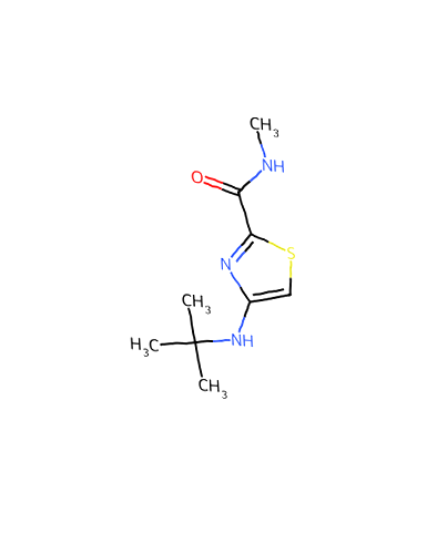 CNC(=O)c1nc(NC(C)(C)C)cs1